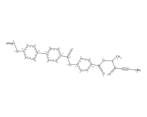 CCCCC#CC(=O)C(C)OC(=O)c1ccc(OC(=O)c2ccc(-c3ccc(OCCCCCCC)cc3)cc2)cc1